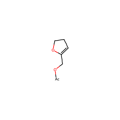 CC(=O)OCC1=CCCO1